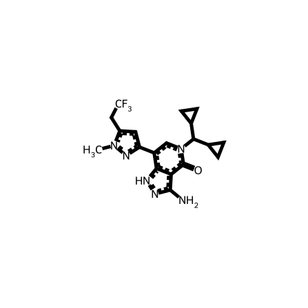 Cn1nc(-c2cn(C(C3CC3)C3CC3)c(=O)c3c(N)n[nH]c23)cc1CC(F)(F)F